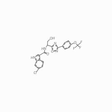 O=C(NC(CO)c1nc(-c2ccc(OC(F)(F)F)cc2)no1)c1c[nH]c2cc(Cl)ccc12